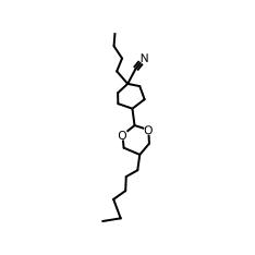 CCCCCCC1COC(C2CCC(C#N)(CCCC)CC2)OC1